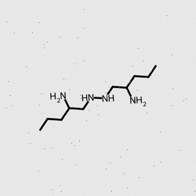 CCCC(N)CNNCC(N)CCC